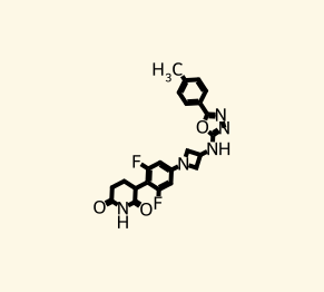 Cc1ccc(-c2nnc(NC3CN(c4cc(F)c(C5CCC(=O)NC5=O)c(F)c4)C3)o2)cc1